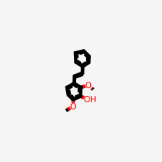 COc1ccc(/C=C/c2ccccc2)c(OC)c1O